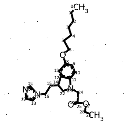 CCCCCCCOc1ccc2c(c1)C(CCn1ccnc1)CN2CC(=O)OCC